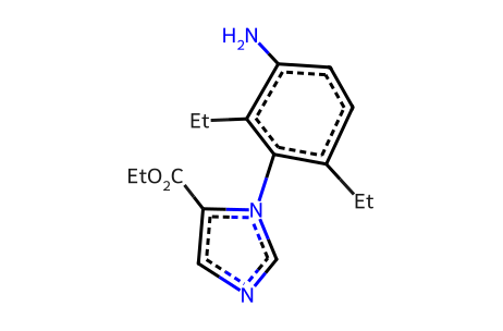 CCOC(=O)c1cncn1-c1c(CC)ccc(N)c1CC